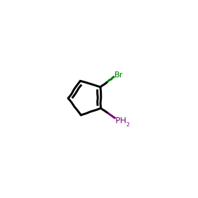 PC1=C(Br)C=CC1